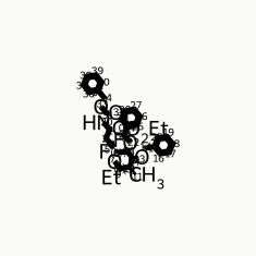 CCOC(=O)C(CC(F)(F)[C@H]1O[C@H](CC)[C@H](C)[C@H](OCc2ccccc2)[C@H]1OCc1ccccc1)NC(=O)OCc1ccccc1